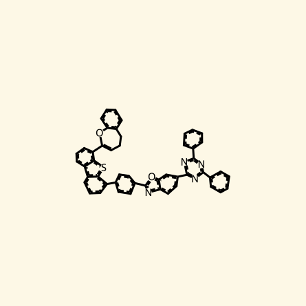 C1=C(c2cccc3c2sc2c(-c4ccc(-c5nc6ccc(-c7nc(-c8ccccc8)nc(-c8ccccc8)n7)cc6o5)cc4)cccc23)Oc2ccccc2CC1